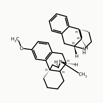 COc1ccc2c(c1)[C@]13CCCC[C@@H]1[C@H](C2)N(C)CC3.c1ccc2c(c1)C[C@H]1NCC[C@@]23CCCC[C@@H]13